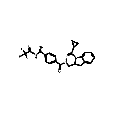 N=C(NC(=O)C(F)(F)F)c1ccc(C(=O)NCC2Cc3ccccc3N2C(=O)C2CC2)cc1